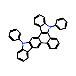 c1ccc(-n2c3ccccc3c3cc4c5ccccc5c5c(c4cc32)c2ccccc2n5-c2ccccc2)cc1